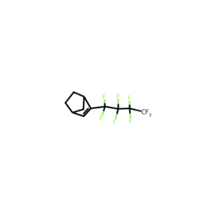 FC(F)(F)C(F)(F)C(F)(F)C(F)(F)C1=CC2CCC1C2